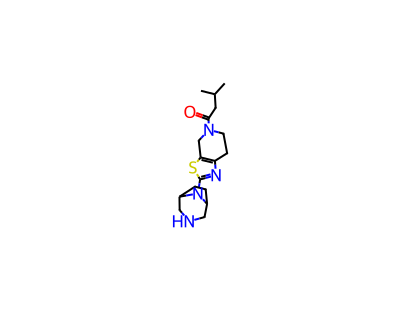 CC(C)CC(=O)N1CCc2nc(N3C4CCC3CNC4)sc2C1